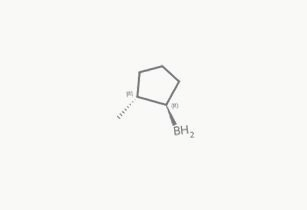 B[C@@H]1CCC[C@H]1C